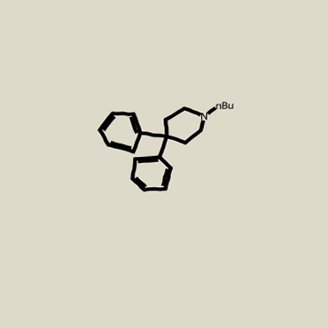 CCCCN1CCC(c2ccccc2)(c2ccccc2)CC1